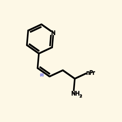 CCCC(N)C/C=C\c1cccnc1